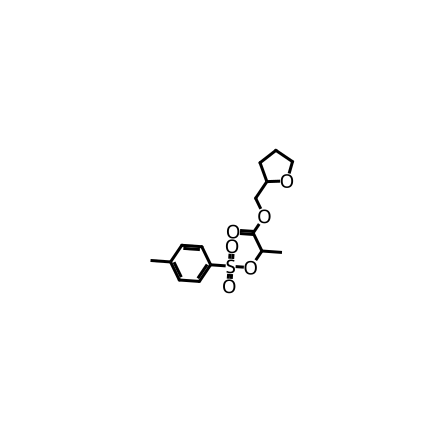 Cc1ccc(S(=O)(=O)OC(C)C(=O)OCC2CCCO2)cc1